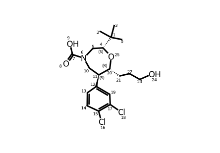 CC(C)(C)[C@H]1CN(C(=O)O)C[C@H](c2ccc(Cl)c(Cl)c2)[C@@H](CCCO)O1